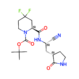 CC(C)(C)OC(=O)N1CCC(F)(F)C[C@H]1C(=O)N[C@H](C#N)C[C@@H]1CCNC1=O